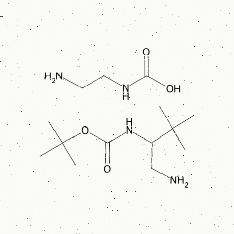 CC(C)(C)OC(=O)NC(CN)C(C)(C)C.NCCNC(=O)O